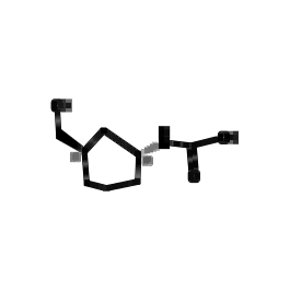 O=C(O)N[C@@H]1CCC[C@@H](CO)C1